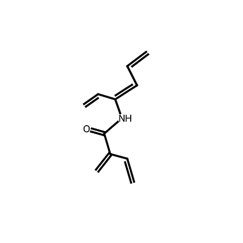 C=C/C=C(\C=C)NC(=O)C(=C)C=C